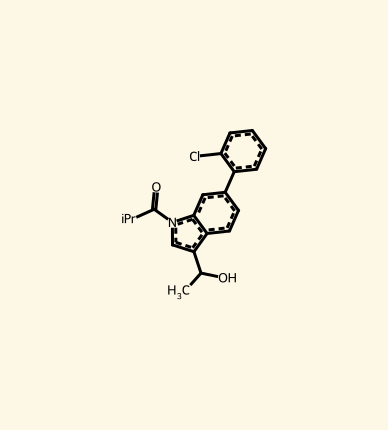 CC(C)C(=O)n1cc(C(C)O)c2ccc(-c3ccccc3Cl)cc21